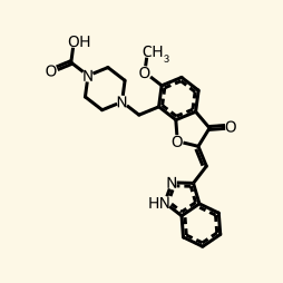 COc1ccc2c(c1CN1CCN(C(=O)O)CC1)O/C(=C\c1n[nH]c3ccccc13)C2=O